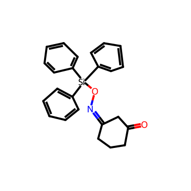 O=C1CCCC(=NO[Si](c2ccccc2)(c2ccccc2)c2ccccc2)C1